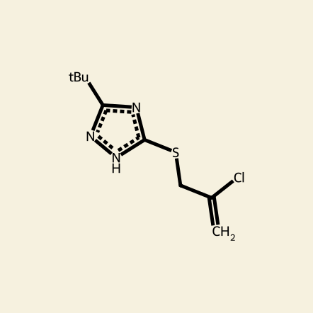 C=C(Cl)CSc1nc(C(C)(C)C)n[nH]1